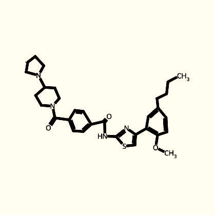 CCCCc1ccc(OC)c(-c2csc(NC(=O)c3ccc(C(=O)N4CCC(N5C[CH]CC5)CC4)cc3)n2)c1